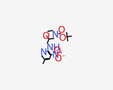 Cc1cnc(NCC2CN(C(=O)OC(C)(C)C)CCO2)c([N+](=O)[O-])c1